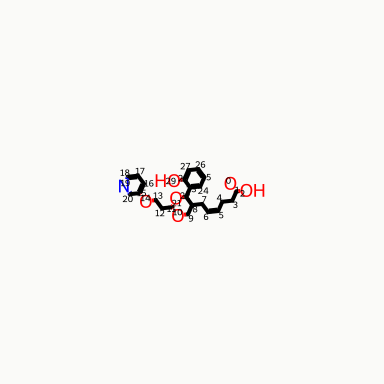 O=C(O)CC/C=C\CC1COC(CCOc2cccnc2)OC1c1ccccc1O